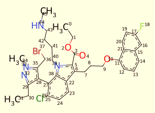 CCOC(=O)c1c(CCCOc2cccc3cc(F)ccc23)c2ccc(Cl)c(-c3c(CC)nn(C)c3CBr)c2n1CCCCNC